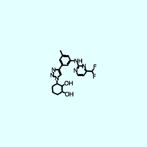 Cc1cc(Nc2nccc(C(F)F)n2)cc(-c2cn(C3CCCC(O)C3O)nn2)c1